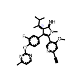 C#Cc1cc(OC)c(C2=C(c3ccc(Oc4nccc(C)n4)c(F)c3)/C(=C(\C)C(C)C)C(=N)N2C)cn1